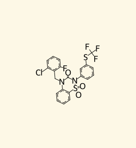 O=C1N(Cc2c(F)cccc2Cl)c2ccccc2S(=O)(=O)N1c1cccc(SC(F)(F)F)c1